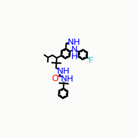 CC(C)CC(c1ccc(Nc2ccc(F)cc2)c(C=N)c1)C(C)(C)CNC(=O)NC(C)(C)c1ccccc1